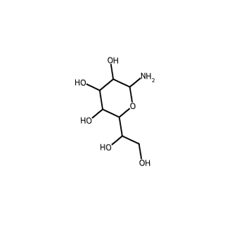 NC1OC(C(O)CO)C(O)C(O)C1O